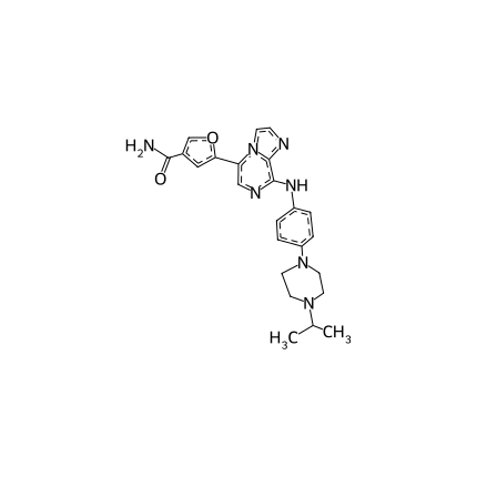 CC(C)N1CCN(c2ccc(Nc3ncc(-c4cc(C(N)=O)co4)n4ccnc34)cc2)CC1